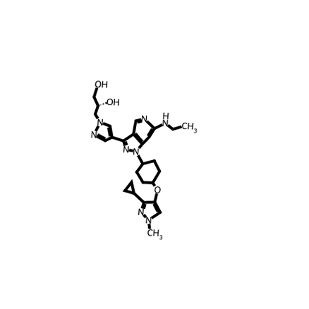 CCNc1cc2c(cn1)c(-c1cnn(C[C@@H](O)CO)c1)nn2C1CCC(Oc2cn(C)nc2C2CC2)CC1